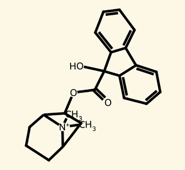 C[N+]1(C)C2CCCC1C(OC(=O)C1(O)c3ccccc3-c3ccccc31)C2